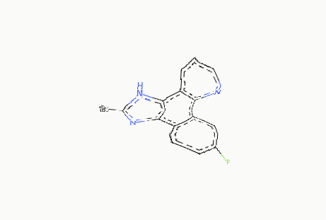 CC(C)(C)c1nc2c3ccc(F)cc3c3ncccc3c2[nH]1